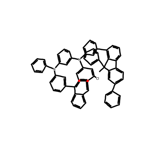 CC1(c2ccccc2)c2cc(-c3ccccc3)ccc2-c2cccc(-c3cccc(N(c4cccc(Cl)c4)c4cccc(N(c5ccccc5)c5cccc(-c6cccc7ccccc67)c5)c4)c3)c21